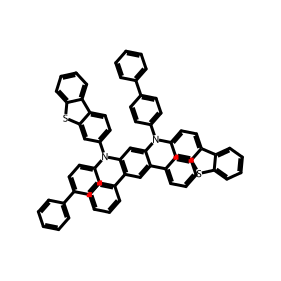 c1ccc(-c2ccc(N(c3ccc4c(c3)sc3ccccc34)c3cc(N(c4ccc(-c5ccccc5)cc4)c4ccc5c(c4)sc4ccccc45)c(-c4ccccc4)cc3-c3ccccc3)cc2)cc1